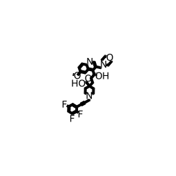 COc1ccc2ncc(CN3CCOCC3)c([C@H](O)CCC3(C(=O)O)CCN(CC#Cc4cc(F)cc(F)c4F)CC3)c2c1